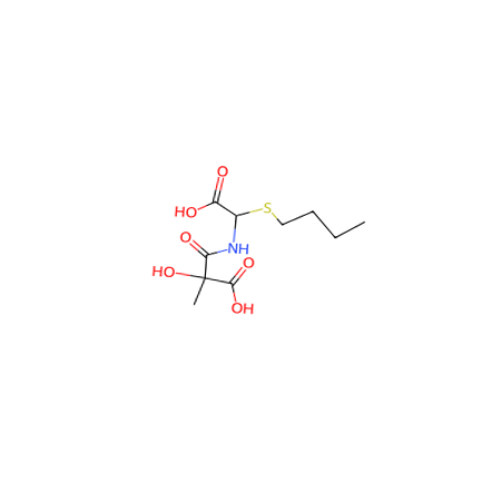 CCCCSC(NC(=O)C(C)(O)C(=O)O)C(=O)O